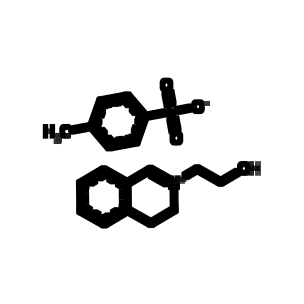 Cc1ccc(S(=O)(=O)[O-])cc1.OCC[N+]1=Cc2ccccc2CC1